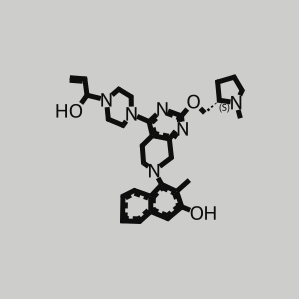 C=CC(O)N1CCN(c2nc(OC[C@@H]3CCCN3C)nc3c2CCN(c2c(C)c(O)cc4ccccc24)C3)CC1